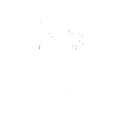 C[C@H]1COCCN1Cc1nnnn1-c1ccc(C(F)(F)F)cc1